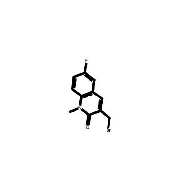 Cn1c(=O)c(CBr)cc2cc(F)ccc21